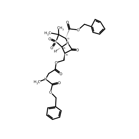 CN(CC(=O)OC[C@@H]1C(=O)N2[C@@H](C(=O)OCc3ccccc3)C(C)(C)S(=O)(=O)[C@H]12)C(=O)OCc1ccccc1